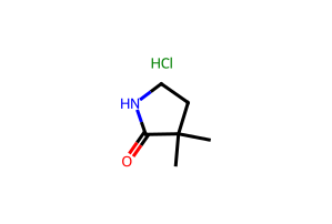 CC1(C)CCNC1=O.Cl